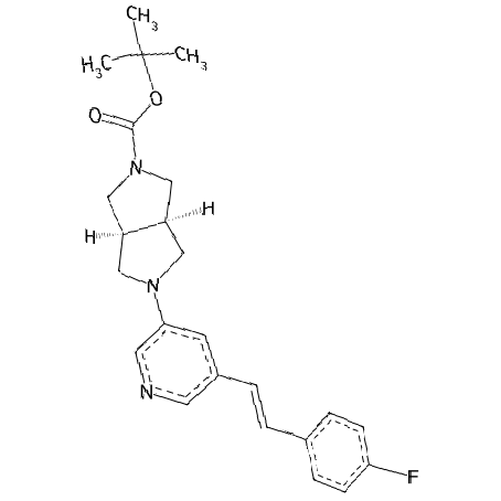 CC(C)(C)OC(=O)N1C[C@@H]2CN(c3cncc(C=Cc4ccc(F)cc4)c3)C[C@@H]2C1